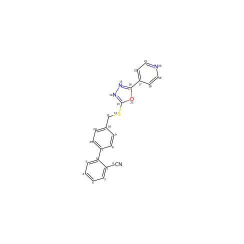 N#Cc1ccccc1-c1ccc(CSc2nnc(-c3ccncc3)o2)cc1